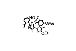 CCOc1nc(-c2c(C)nn(-c3ccccc3Cl)c2Nc2ccc(OC)cc2C(=O)O)sc1C